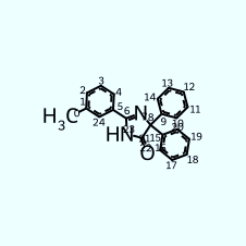 Cc1cccc(C2=NC(c3ccccc3)(c3ccccc3)C(=O)N2)c1